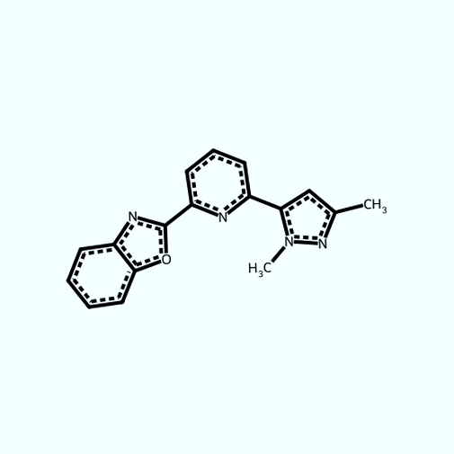 Cc1cc(-c2cccc(-c3nc4ccccc4o3)n2)n(C)n1